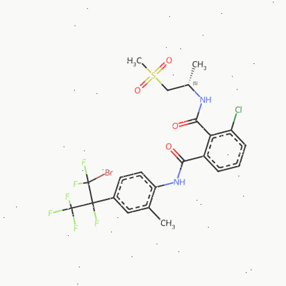 Cc1cc(C(F)(C(F)(F)F)C(F)(F)Br)ccc1NC(=O)c1cccc(Cl)c1C(=O)N[C@@H](C)CS(C)(=O)=O